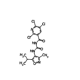 Cc1noc(C(C)C)c1NC(=O)NC(=O)c1cc(Cl)c(Cl)nc1Cl